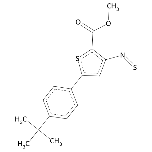 COC(=O)c1sc(-c2ccc(C(C)(C)C)cc2)cc1N=S